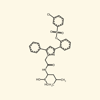 CC(C)CC(NC(=O)Cn1nc(-c2ccccc2OS(=O)(=O)c2cccc(Cl)c2)cc1-c1ccccc1)B(O)O